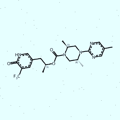 Cc1cnc(N2C[C@H](C)N(C(=O)O[C@@H](C)Cc3c[nH]c(=O)c(C(F)(F)F)c3)C[C@H]2C)nc1